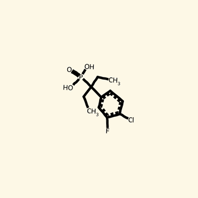 CCC(CC)(c1ccc(Cl)c(F)c1)P(=O)(O)O